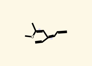 C=C/C=C(C=C)\C=C(\C)OC